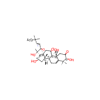 CC(=O)OC(C)(C)/C=C/C(=O)C(C)(O)[C@H]1[C@H](O)C[C@@]2(C)[C@@H]3CC=C4[C@@H](CC(=O)[C@@H](O)C4(C)C)[C@]3(CO)C(=O)C[C@]12C